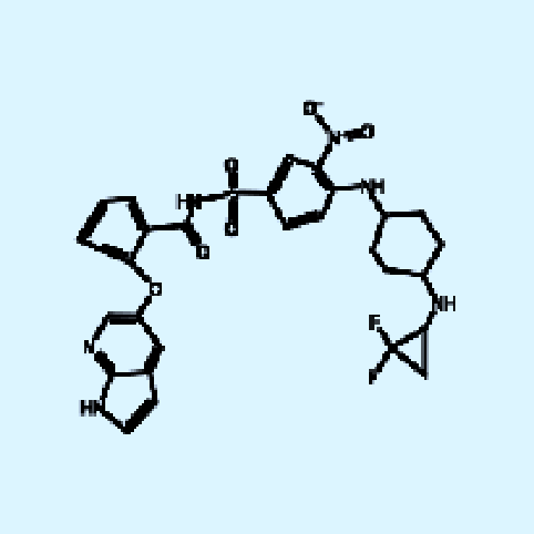 O=C(NS(=O)(=O)c1ccc(NC2CCC(NC3CC3(F)F)CC2)c([N+](=O)[O-])c1)c1ccccc1Oc1cnc2[nH]ccc2c1